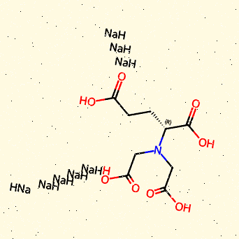 O=C(O)CC[C@H](C(=O)O)N(CC(=O)O)CC(=O)O.[NaH].[NaH].[NaH].[NaH].[NaH].[NaH].[NaH].[NaH]